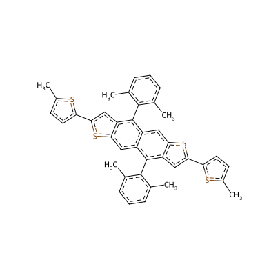 Cc1ccc(-c2cc3c(-c4c(C)cccc4C)c4cc5sc(-c6ccc(C)s6)cc5c(-c5c(C)cccc5C)c4cc3s2)s1